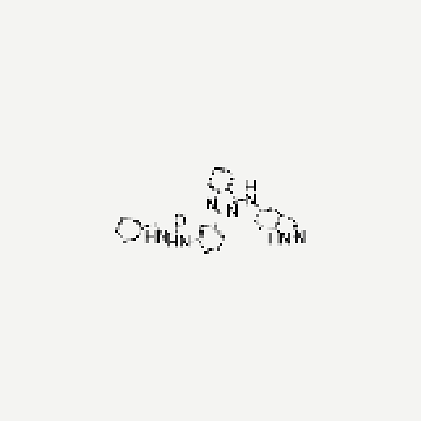 O=C(NCc1ccccc1)Nc1cccc(-c2nc(Nc3ccc4[nH]ncc4c3)c3ccccc3n2)c1